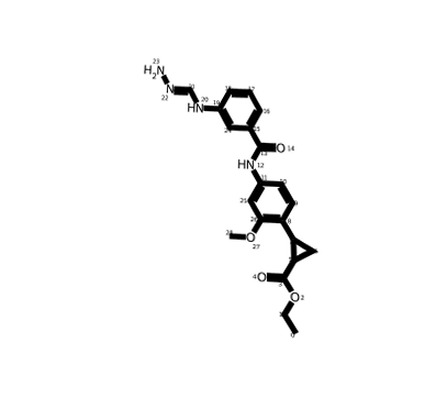 CCOC(=O)C1CC1c1ccc(NC(=O)c2cccc(NC=NN)c2)cc1OC